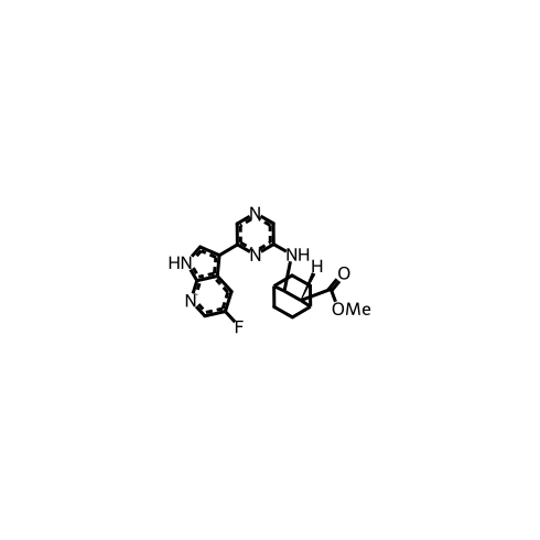 COC(=O)[C@@H]1C2CCC(CC2)C1Nc1cncc(-c2c[nH]c3ncc(F)cc23)n1